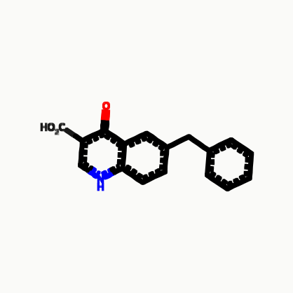 O=C(O)c1c[nH]c2ccc(Cc3ccccc3)cc2c1=O